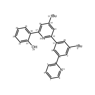 CC(C)(C)c1cc(-c2ccccn2)cc(-c2cc(C(C)(C)C)cc(-c3ccccc3O)n2)c1